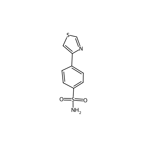 NS(=O)(=O)c1ccc(-c2cscn2)cc1